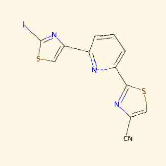 N#Cc1csc(-c2cccc(-c3csc(I)n3)n2)n1